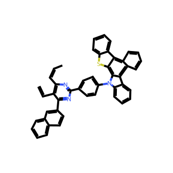 C=Cc1c(/C=C\C)nc(-c2ccc(-n3c4ccccc4c4c5ccccc5c5c6ccccc6sc5c43)cc2)nc1-c1ccc2ccccc2c1